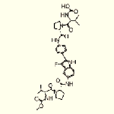 COC(=O)N[C@H](C(=O)N1CCC[C@H]1C(=O)Nc1ccc2[nH]c(-c3ccc(NC(=O)[C@@H]4CCCN4C(=O)[C@@H](NC(=O)O)C(C)C)cc3)c(F)c2c1)C(C)C